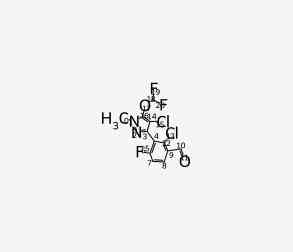 Cn1nc(-c2c(F)ccc(C=O)c2Cl)c(Cl)c1OC(F)F